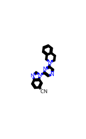 N#Cc1ccc2ncn(-c3cncc(N4CCc5ccccc5C4)n3)c2c1